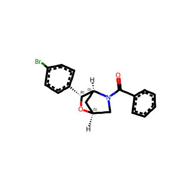 O=C(c1ccccc1)N1C[C@@H]2C[C@H]1[C@@H](c1ccc(Br)cc1)O2